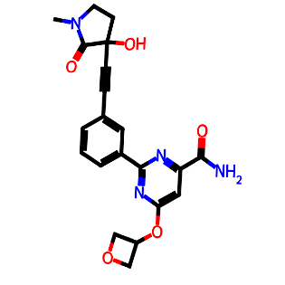 CN1CCC(O)(C#Cc2cccc(-c3nc(OC4COC4)cc(C(N)=O)n3)c2)C1=O